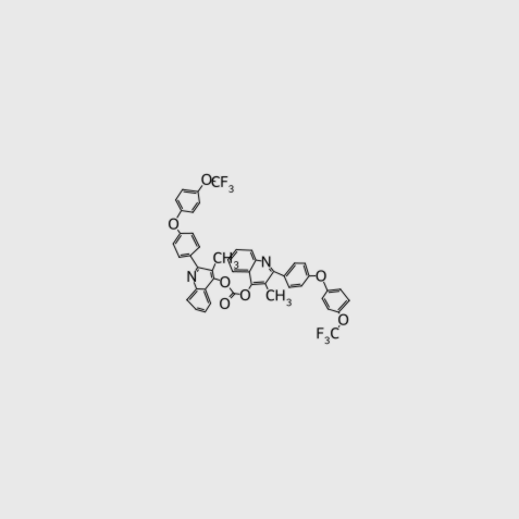 Cc1c(-c2ccc(Oc3ccc(OC(F)(F)F)cc3)cc2)nc2ccccc2c1OC(=O)Oc1c(C)c(-c2ccc(Oc3ccc(OC(F)(F)F)cc3)cc2)nc2ccccc12